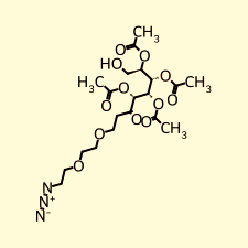 CC(=O)O[C@H]([C@H](OC(C)=O)[C@@H](OC(C)=O)C(=O)CCOCCOCCN=[N+]=[N-])[C@@H](CO)OC(C)=O